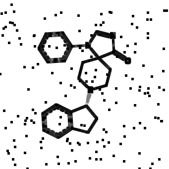 O=C1N=CN(c2ccccc2)C12CCN([C@@H]1CCc3ccccc31)CC2